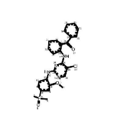 COc1cc(P(C)(C)=O)ccc1Nc1ncc(Cl)c(Nc2ccccc2C(=O)c2ccccc2)n1